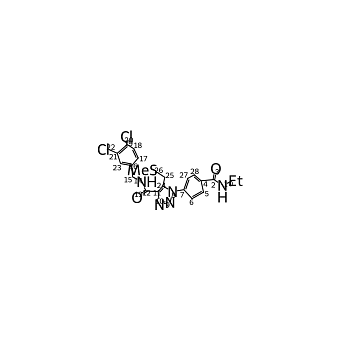 CCNC(=O)c1ccc(-n2nnc(C(=O)NCc3ccc(Cl)c(Cl)c3)c2CSC)cc1